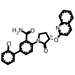 NC(=O)c1cc(-c2ccccc2Cl)ccc1N1CC[C@H](Oc2ccc3ccccc3n2)C1=O